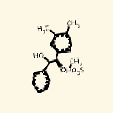 CS(=O)(=O)O.Cc1ccc(C(=O)C(O)c2ccccc2)cc1C